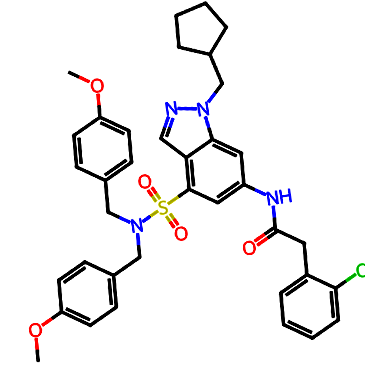 COc1ccc(CN(Cc2ccc(OC)cc2)S(=O)(=O)c2cc(NC(=O)Cc3ccccc3Cl)cc3c2cnn3CC2CCCC2)cc1